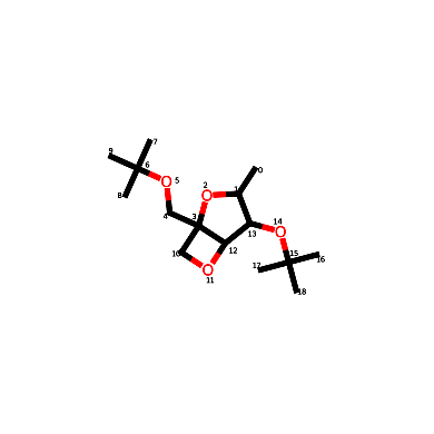 CC1OC2(COC(C)(C)C)COC2C1OC(C)(C)C